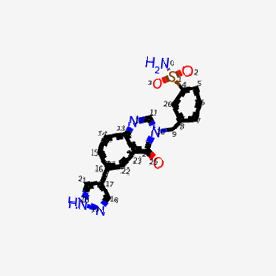 NS(=O)(=O)c1cccc(Cn2cnc3ccc(-c4cn[nH]c4)cc3c2=O)c1